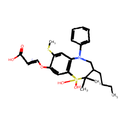 CCCCC1CN(c2ccccc2)c2cc(SC)c(O/C=C/C(=O)O)cc2S(O)(O)C1(C)C